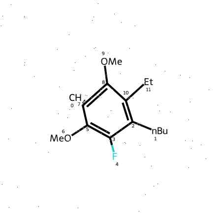 C.CCCCc1c(F)c(OC)cc(OC)c1CC